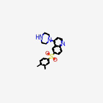 Cc1ccc(S(=O)(=O)c2ccc3nccc(N4CCNCC4)c3c2)cc1C